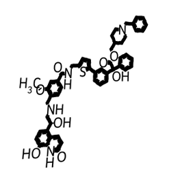 COc1cc(C(=O)NCc2ccc(-c3cccc([C@](O)(C(=O)OCC4CCN(Cc5ccccc5)CC4)c4ccccc4)c3)s2)ccc1CNC[C@H](O)c1ccc(O)c2[nH]c(=O)ccc12